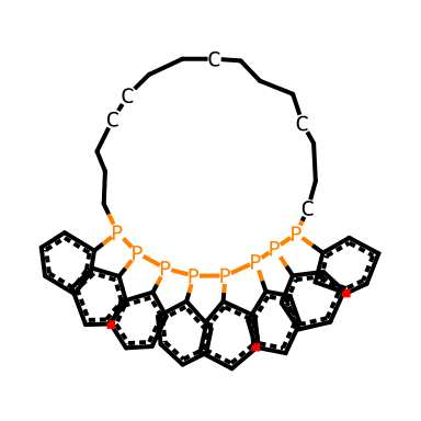 c1ccc(P2CCCCCCCCCCCCCCCP(c3ccccc3)P(c3ccccc3)P(c3ccccc3)P(c3ccccc3)P(c3ccccc3)P(c3ccccc3)P2c2ccccc2)cc1